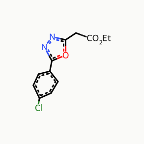 CCOC(=O)Cc1nnc(-c2ccc(Cl)cc2)o1